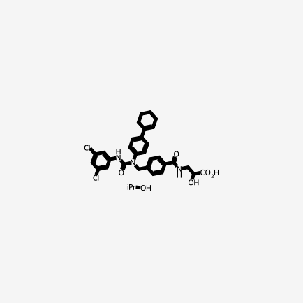 CC(C)O.O=C(NCC(O)C(=O)O)c1ccc(CN(C(=O)Nc2cc(Cl)cc(Cl)c2)c2ccc(C3=CCCCC3)cc2)cc1